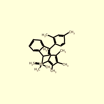 CC1=C(C)C(C)[C]([Zr]([CH3])([CH3])(=[SiH2])[CH]2C=C(c3ccc(C)cc3C)c3ccccc32)=C1C